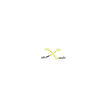 CCCSS(S)(S)CCC